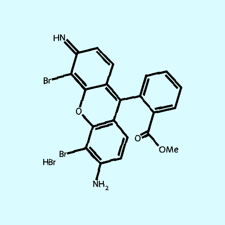 Br.COC(=O)c1ccccc1-c1c2ccc(=N)c(Br)c-2oc2c(Br)c(N)ccc12